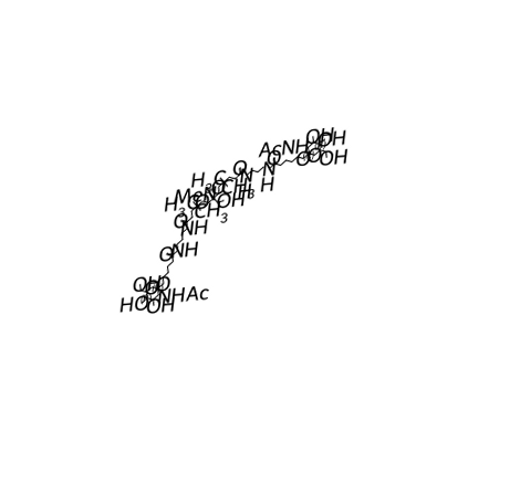 CNC(CO)(COC(C)(C)CCC(=O)NCCCNC(=O)CCCCO[C@@H]1OC(CO)[C@H](O)C(O)C1NC(C)=O)COC(C)(C)CCC(=O)NCCCNC(=O)CCCCO[C@@H]1OC(CO)[C@H](O)C(O)C1NC(C)=O